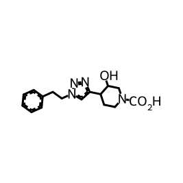 O=C(O)N1CCC(c2cn(CCc3ccccc3)nn2)C(O)C1